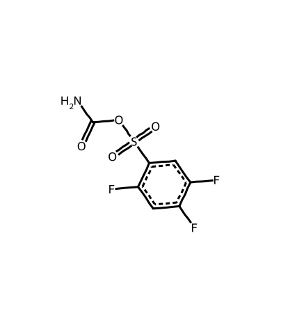 NC(=O)OS(=O)(=O)c1cc(F)c(F)cc1F